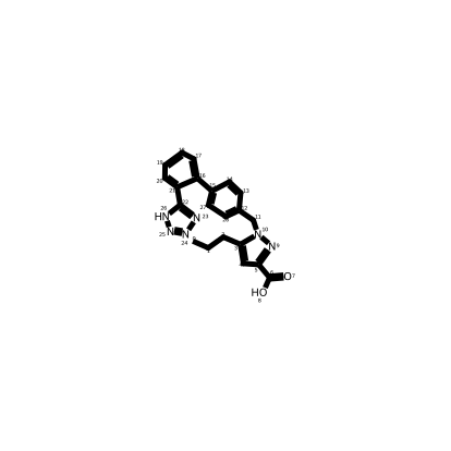 CCCc1cc(C(=O)O)nn1Cc1ccc(-c2ccccc2-c2nnn[nH]2)cc1